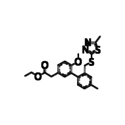 CCOC(=O)Cc1ccc(OC)c(-c2ccc(C)cc2CSc2nnc(C)s2)c1